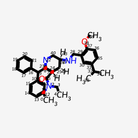 CCN(CC)C(=O)[C@H]1C(C(c2ccccc2)c2ccccc2)N2CC[C@@H]1[C@H](NCc1cc(C(C)C)ccc1OC)C2